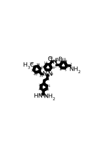 CCCCN(Cc1ccc(CN)cc1)C(=O)c1ccc2c(c1)nc(CCc1ccc(C(=N)N)cc1)n2Cc1ccc(C)cc1